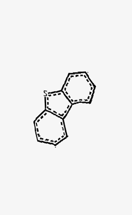 [c]1ccc2c(c1)sc1cc[c]cc12